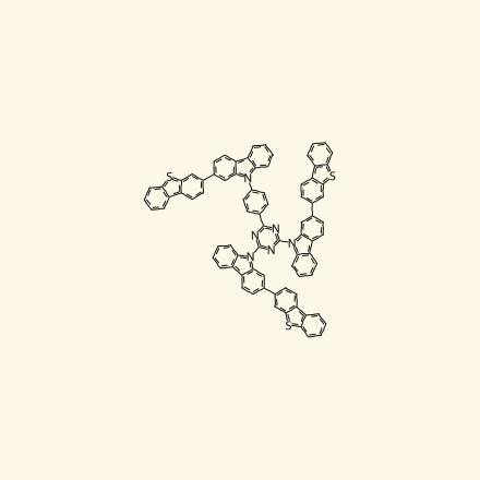 c1ccc2c(c1)sc1cc(-c3ccc4c5ccccc5n(-c5ccc(-c6nc(-n7c8ccccc8c8ccc(-c9ccc%10c(c9)sc9ccccc9%10)cc87)nc(-n7c8ccccc8c8ccc(-c9ccc%10c(c9)sc9ccccc9%10)cc87)n6)cc5)c4c3)ccc12